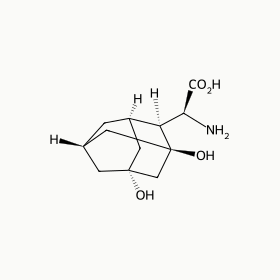 N[C@H](C(=O)O)[C@@H]1[C@@H]2C[C@H]3C[C@@](O)(C2)C[C@]1(O)C3